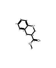 COC(=O)C1CSc2ccccc2C1